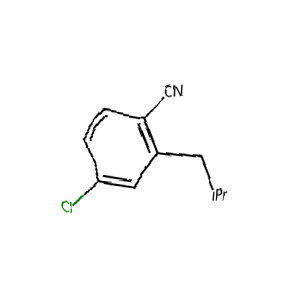 CC(C)Cc1cc(Cl)ccc1C#N